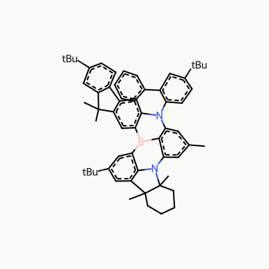 Cc1cc2c3c(c1)N1c4c(cc(C(C)(C)C)cc4C4(C)CCCCC14C)B3c1cc3c(cc1N2c1ccc(C(C)(C)C)cc1-c1ccccc1)-c1ccc(C(C)(C)C)cc1C3(C)C